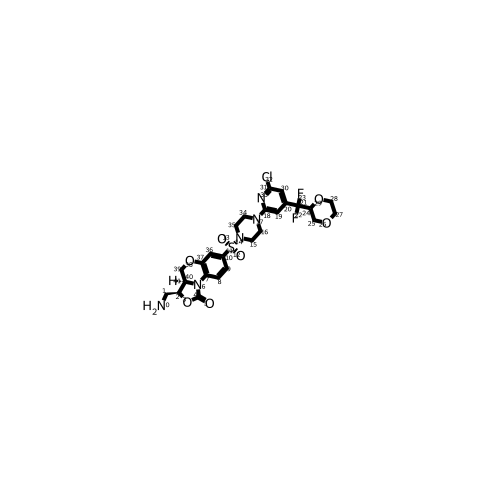 NC[C@@H]1OC(=O)N2c3ccc(S(=O)(=O)N4CCN(c5cc(C(F)(F)C6COCCO6)cc(Cl)n5)CC4)cc3OC[C@H]12